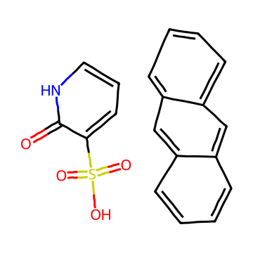 O=c1[nH]cccc1S(=O)(=O)O.c1ccc2cc3ccccc3cc2c1